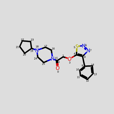 O=C(COc1snnc1-c1ccccc1)N1CCN(C2CCCC2)CC1